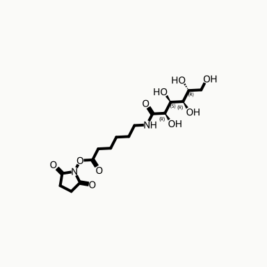 O=C(CCCCCNC(=O)[C@H](O)[C@@H](O)[C@H](O)[C@H](O)CO)ON1C(=O)CCC1=O